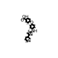 O=C(O)c1ccc(Oc2ccc(Nc3nc(-c4cccnc4)cs3)cc2)cc1